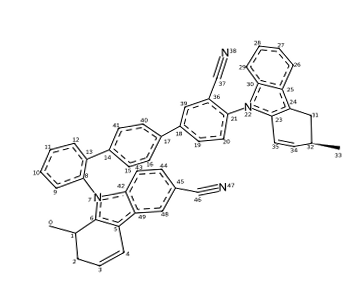 CC1CC=Cc2c1n(-c1ccccc1-c1ccc(-c3ccc(-n4c5c(c6ccccc64)C[C@@H](C)C=C5)c(C#N)c3)cc1)c1ccc(C#N)cc21